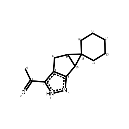 CC(=O)c1[nH]nc2c1CC1C2C12CCCCC2